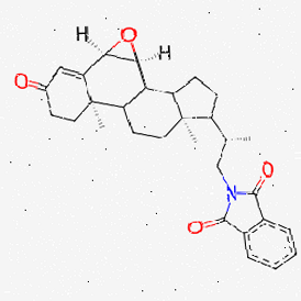 C[C@H](CN1C(=O)c2ccccc2C1=O)C1CCC2C3C(CC[C@@]21C)[C@@]1(C)CCC(=O)C=C1[C@H]1O[C@@H]31